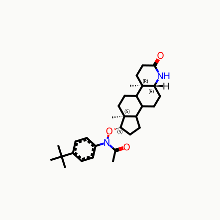 CC(=O)N(O[C@H]1CCC2C3CC[C@H]4NC(=O)CC[C@]4(C)C3CC[C@@]21C)c1ccc(C(C)(C)C)cc1